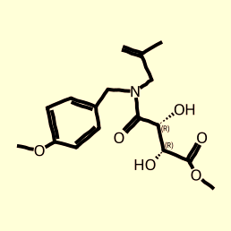 C=C(C)CN(Cc1ccc(OC)cc1)C(=O)[C@H](O)[C@@H](O)C(=O)OC